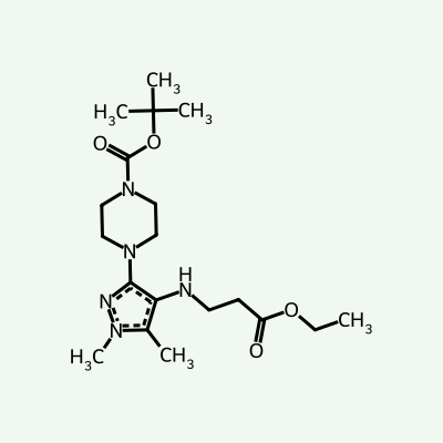 CCOC(=O)CCNc1c(N2CCN(C(=O)OC(C)(C)C)CC2)nn(C)c1C